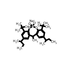 CCC(C)c1cc2c(c(C(C)(C)C)c1)OP(=O)([O-])Oc1c(cc(C(C)CC)cc1C(C)(C)C)C2C.[Na+]